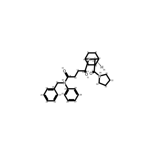 O=C([C@@H]1C2CCC(CC2)N1C(=O)CCC(=O)N(Cc1ccccc1)c1ccccc1)N1CCCC1